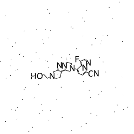 C[C@@H]1CN(c2ccc(C#N)n3ncc(F)c23)Cc2c3c(nn21)CN(CCO)CC3